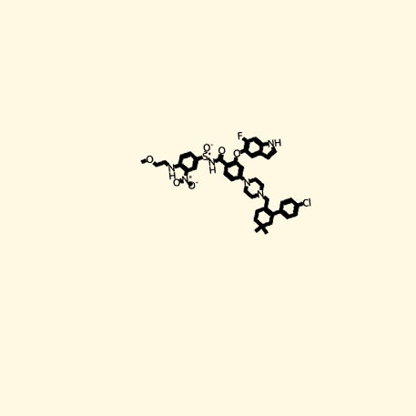 COCCNc1ccc([S+]([O-])NC(=O)c2ccc(N3CCN(CC4=C(c5ccc(Cl)cc5)CC(C)(C)CC4)CC3)cc2Oc2cc3cc[nH]c3cc2F)cc1[N+](=O)[O-]